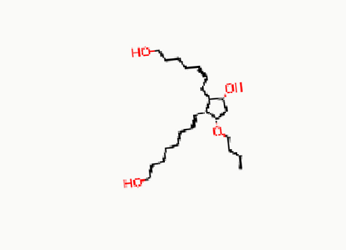 CCCCO[C@H]1C[C@@H](O)C(C/C=C\CCCCO)[C@@H]1/C=C/CCCCCCO